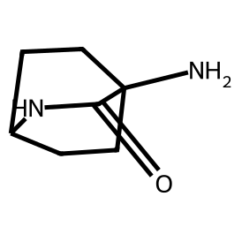 NC12CCC(CC1)NC2=O